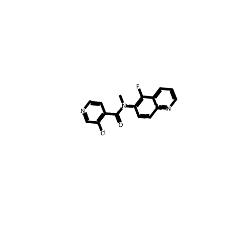 CN(C(=O)c1ccncc1Cl)c1ccc2ncccc2c1F